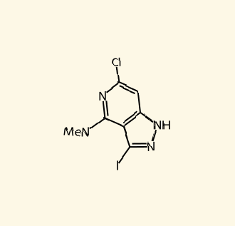 CNc1nc(Cl)cc2[nH]nc(I)c12